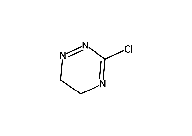 ClC1=NCCN=N1